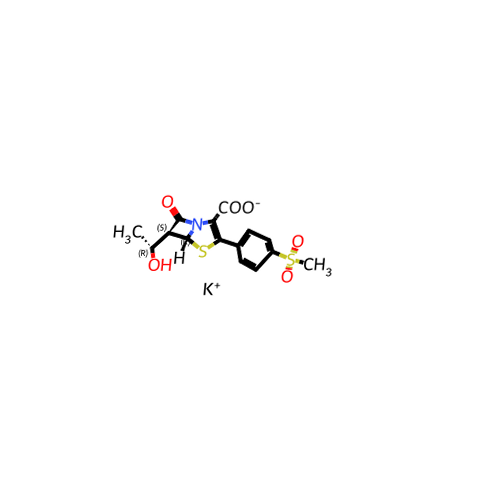 C[C@@H](O)[C@H]1C(=O)N2C(C(=O)[O-])=C(c3ccc(S(C)(=O)=O)cc3)S[C@H]12.[K+]